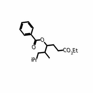 CCOC(=O)CCC(OC(=O)c1ccccc1)C(C)CC(C)C